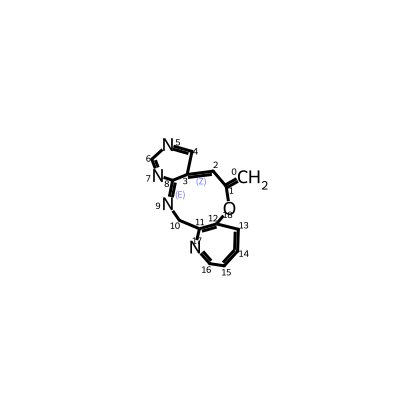 C=C1/C=c2/cncn/c2=N/CC2=C(C=C=CC=N2)O1